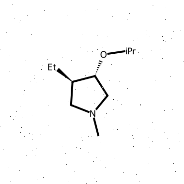 CC[C@@H]1CN(C)C[C@H]1OC(C)C